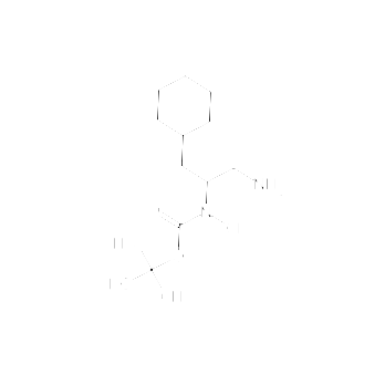 CN(C(=O)OC(C)(C)C)C(CN)CC1CCCCC1